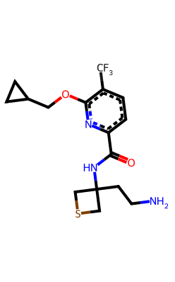 NCCC1(NC(=O)c2ccc(C(F)(F)F)c(OCC3CC3)n2)CSC1